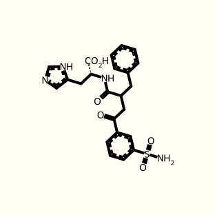 NS(=O)(=O)c1cccc(C(=O)CC(Cc2ccccc2)C(=O)N[C@H](Cc2cnc[nH]2)C(=O)O)c1